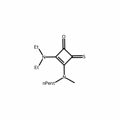 CCCCCN(C)c1c(N(CC)CC)c(=O)c1=S